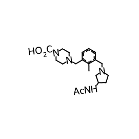 CC(=O)NC1CCN(Cc2cccc(CN3CCN(C(=O)O)CC3)c2C)C1